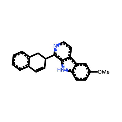 COc1ccc2[nH]c3c(C4C=Cc5ccccc5C4)nccc3c2c1